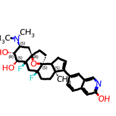 CN(C)[C@H]1C[C@@]23CC[C@]4(O2)C2CC=C(c5ccc6cc(O)ncc6c5)[C@@]2(C)CCC4(F)CC3(F)[C@@H](O)[C@@H]1O